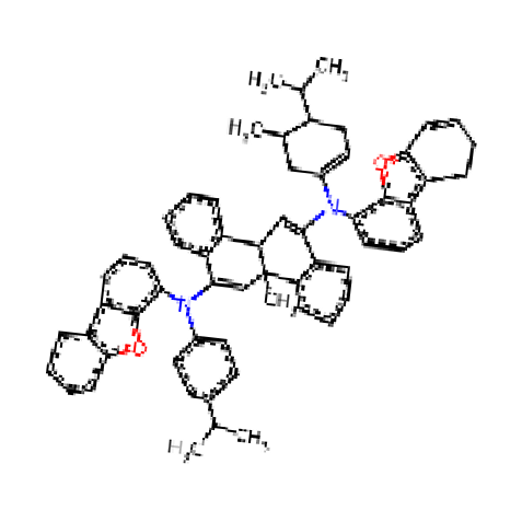 CC(C)c1ccc(N(C2=CC3(C)c4ccccc4C(N(C4=CCC(C(C)C)C(C)C4)c4cccc5c6c(oc45)C=CCC6)=CC3c3ccccc32)c2cccc3c2oc2ccccc23)cc1